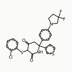 O=C1CC(c2ccc(N3CCC(F)(F)C3)cc2)(c2ccsc2)NC(=O)C1Sc1ccccc1Cl